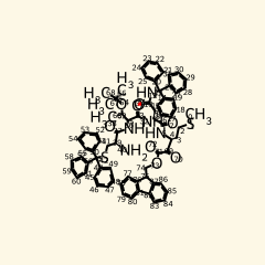 CSCC[C@H](NC(=O)[C@H](CC(=O)NC(c1ccccc1)(c1ccccc1)c1ccccc1)NC(=O)[C@@H](NC(=O)[C@@H](N)CSC(c1ccccc1)(c1ccccc1)c1ccccc1)[C@@H](C)OC(C)(C)C)C(=O)C(=O)OCC1c2ccccc2-c2ccccc21